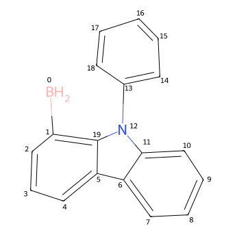 Bc1cccc2c3ccccc3n(-c3ccccc3)c12